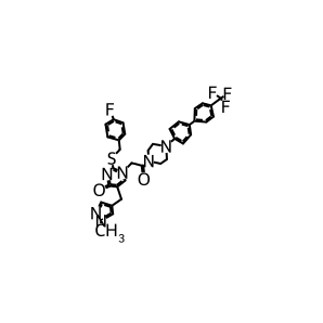 Cn1cc(Cc2cn(CC(=O)N3CCN(c4ccc(-c5ccc(C(F)(F)F)cc5)cc4)CC3)c(SCc3ccc(F)cc3)nc2=O)cn1